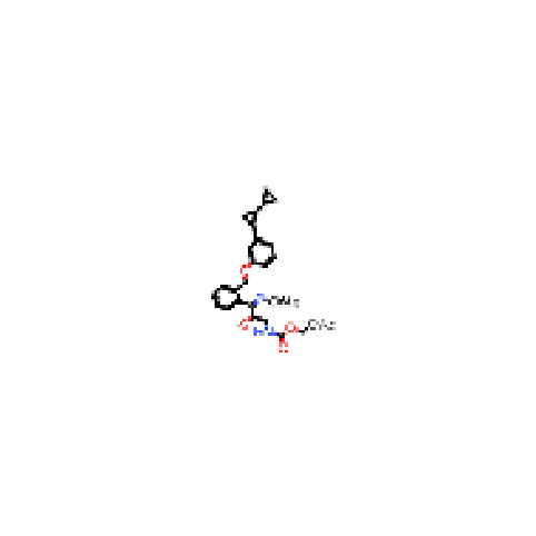 CON=C(C(=O)CNC(=O)OCOC(C)=O)c1ccccc1COc1cccc(C2CC2C2CC2)c1